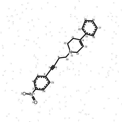 O=[N+]([O-])c1ccc(C#CCCN2CC=C(c3ccccc3)CC2)cc1